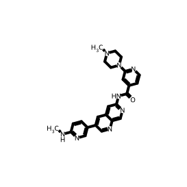 CNc1ccc(-c2cnc3cnc(NC(=O)c4ccnc(N5CCN(C)CC5)c4)cc3c2)cn1